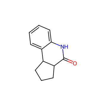 O=C1Nc2ccccc2C2CCCC12